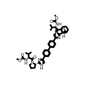 COC(=O)N[C@H](C(=O)N1CCC[C@H]1c1nc(-c2ccc(-c3ccc(-c4c[nH]c([C@@H]5C6CCC(CC6)N5C(=O)[C@@H](NC(=O)OC)C(C)C)n4)cc3)cc2)c[nH]1)C(C)C